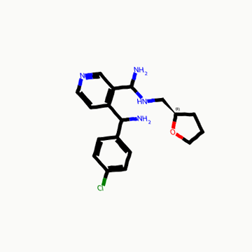 NC(NC[C@H]1CCCO1)c1cnccc1C(N)c1ccc(Cl)cc1